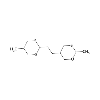 CC1CSC(CCC2COC(C)SC2)SC1